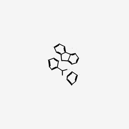 CCCCCCCCC(CCCCCCC)c1ccccc1.[SiH4].c1ccc2c(c1)Cc1ccccc1-2.c1ccccc1